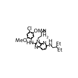 CCC(CC)CNc1ccc2nc(Nc3cc(OC)c(Cl)cc3OC)n(CCCN)c2n1